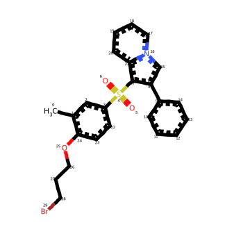 Cc1cc(S(=O)(=O)c2c(-c3ccccc3)cn3ccccc23)ccc1OCCCBr